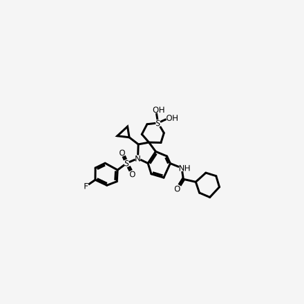 O=C(Nc1ccc2c(c1)C1(CCS(O)(O)CC1)C(C1CC1)N2S(=O)(=O)c1ccc(F)cc1)C1CCCCC1